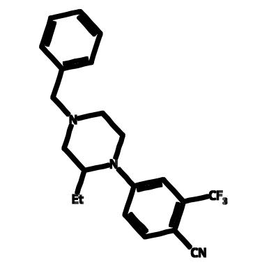 CCC1CN(Cc2ccccc2)CCN1c1ccc(C#N)c(C(F)(F)F)c1